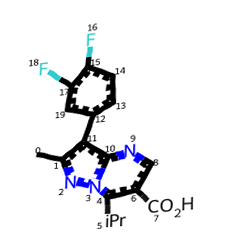 Cc1nn2c(C(C)C)c(C(=O)O)cnc2c1-c1ccc(F)c(F)c1